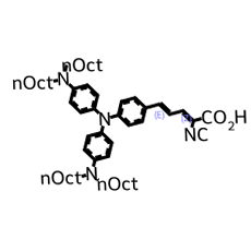 [C-]#[N+]/C(=C\C=C\c1ccc(N(c2ccc(N(CCCCCCCC)CCCCCCCC)cc2)c2ccc(N(CCCCCCCC)CCCCCCCC)cc2)cc1)C(=O)O